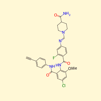 C#Cc1ccc(NC(=O)c2cc(Cl)cc(OC)c2NC(=O)c2ccc(N=CN3CCC(C(N)=O)CC3)cc2F)cc1